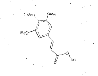 COc1cc(C=CC(=O)OC(C)(C)C)cc(OC)c1OC